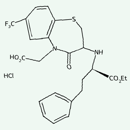 CCOC(=O)[C@@H](CCc1ccccc1)NC1CSc2ccc(C(F)(F)F)cc2N(CC(=O)O)C1=O.Cl